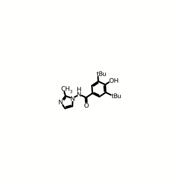 Cc1nccn1NC(=O)c1cc(C(C)(C)C)c(O)c(C(C)(C)C)c1